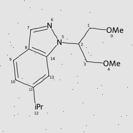 COCC(COC)n1ncc2ccc(C(C)C)cc21